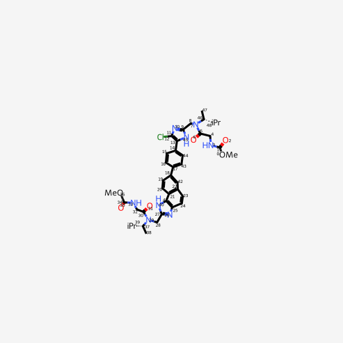 COC(=O)NCC(=O)N(Cc1nc(Cl)c(-c2ccc(-c3ccc4c(ccc5nc(CN(C(=O)CNC(=O)OC)[C@H](C)C(C)C)[nH]c54)c3)cc2)[nH]1)[C@H](C)C(C)C